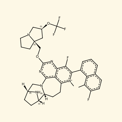 Cc1c(F)ccc2cccc(-c3c(F)c4nc(OC[C@@]56CCCN5C[C@@H](OC(F)(F)F)C6)nc5c4c([n+]3C)CC[C@@H]3[C@@H]4CC[C@H](CN53)N4)c12